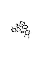 C[C@@H](NC(=O)c1ccc2c(n1)N(C(=O)Nc1ncccn1)[C@H]1CCN2C1)C(F)F